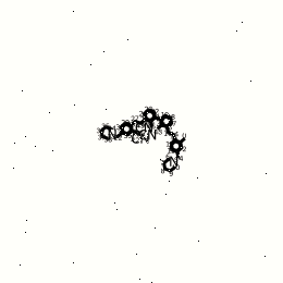 Cc1cc(CN2CCCCC2)ccc1CCc1cccc(-c2cccc(CCc3ccc(CN4CCCCC4)cc3C(C#N)(C#N)C#N)c2C)c1C